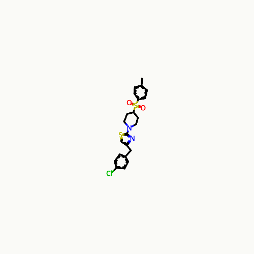 Cc1ccc(S(=O)(=O)C2CCN(c3nc(Cc4ccc(Cl)cc4)cs3)CC2)cc1